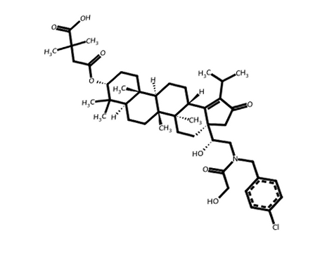 CC(C)C1=C2[C@H]3CC[C@@H]4[C@@]5(C)CC[C@@H](OC(=O)CC(C)(C)C(=O)O)C(C)(C)[C@@H]5CC[C@@]4(C)[C@]3(C)CC[C@@]2([C@@H](O)CN(Cc2ccc(Cl)cc2)C(=O)CO)CC1=O